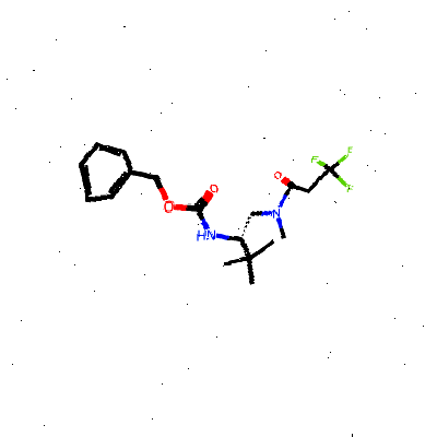 CN(C[C@@H](NC(=O)OCc1ccccc1)C(C)(C)C)C(=O)CC(F)(F)F